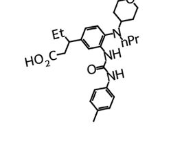 CCCN(c1ccc(C(CC)CC(=O)O)cc1NC(=O)Nc1ccc(C)cc1)C1CCOCC1